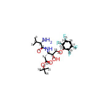 CC(C)[C@H](N)C(=O)N[C@@H](CC(=O)OC(C)(C)C)C(O)COc1c(F)c(F)cc(F)c1F